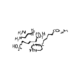 C1CCCNCC1.N.NCCN.O=C(O)CCCCC(=O)O.O=C(O)CCCCC(=O)O